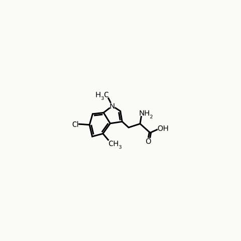 Cc1cc(Cl)cc2c1c(CC(N)C(=O)O)cn2C